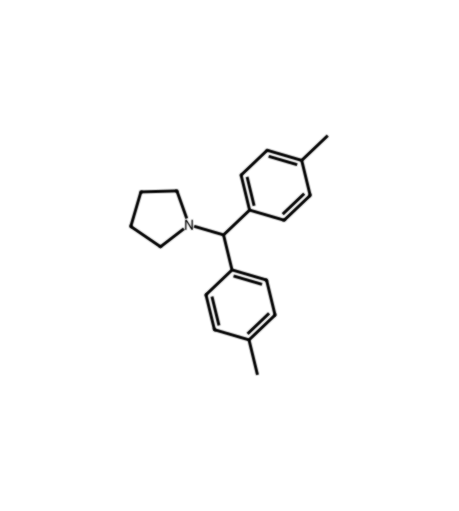 Cc1ccc(C(c2ccc(C)cc2)N2CCCC2)cc1